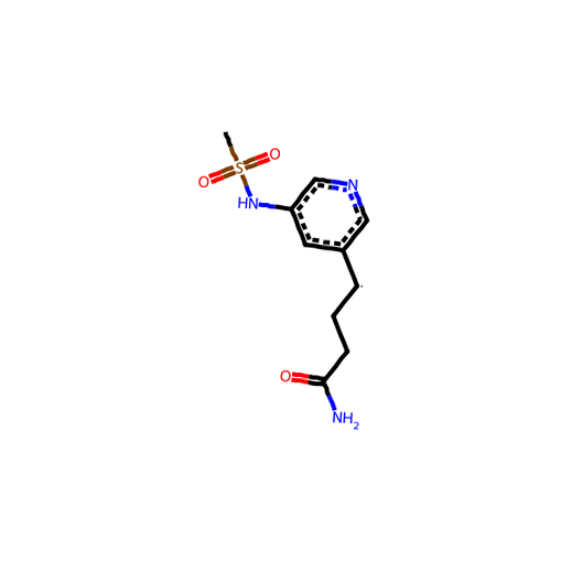 CS(=O)(=O)Nc1cncc([CH]CCC(N)=O)c1